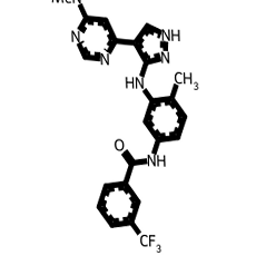 CNc1cc(-c2c[nH]nc2Nc2cc(NC(=O)c3cccc(C(F)(F)F)c3)ccc2C)ncn1